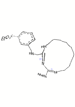 CCOC(=O)c1cccc(N/C2=N/C(NC)=N\CCCCCCCN2)c1